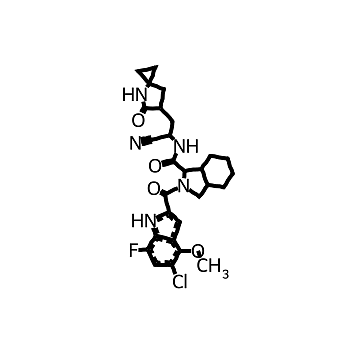 COc1c(Cl)cc(F)c2[nH]c(C(=O)N3CC4CCCCC4C3C(=O)NC(C#N)CC3CC4(CC4)NC3=O)cc12